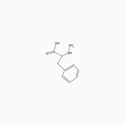 O=C(O)C(Cc1ccccc1)NP